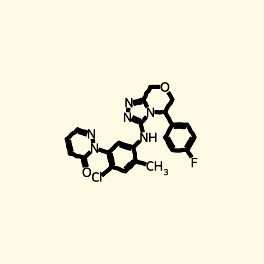 Cc1cc(Cl)c(-n2ncccc2=O)cc1Nc1nnc2n1C(c1ccc(F)cc1)COC2